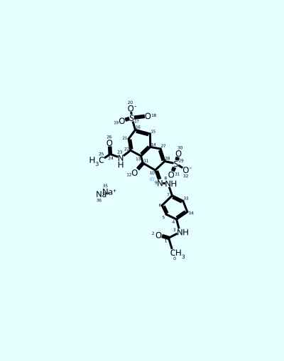 CC(=O)Nc1ccc(N/N=C2/C(=O)c3c(cc(S(=O)(=O)[O-])cc3NC(C)=O)C=C2S(=O)(=O)[O-])cc1.[Na+].[Na+]